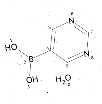 O.OB(O)c1cncnc1